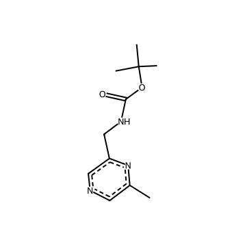 Cc1cncc(CNC(=O)OC(C)(C)C)n1